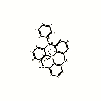 FP12(F)c3c4cccc3Oc3cccc(c31)N(c1ccccc1)c1cccc(c12)O4